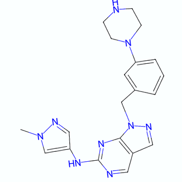 Cn1cc(Nc2ncc3cnn(Cc4cccc(N5CCNCC5)c4)c3n2)cn1